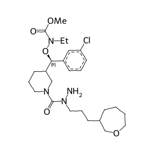 CCN(O[C@@H](c1cccc(Cl)c1)C1CCCN(C(=O)N(N)CCCC2CCCCOC2)C1)C(=O)OC